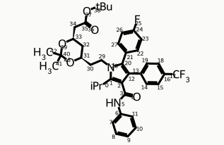 CC(C)c1c(C(=O)Nc2ccccc2)c(-c2ccc(C(F)(F)F)cc2)c(-c2ccc(F)cc2)n1CC[C@@H]1C[C@H](CC(=O)OC(C)(C)C)OC(C)(C)O1